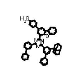 Bc1ccc(-c2cc(-c3nc(-c4cccc(-c5ccccc5)c4)nc(-c4cc(-c5ccccc5)cc(C56CC7CC(CC(C7)C5)C6)c4)n3)c3oc4ccccc4c3c2)cc1